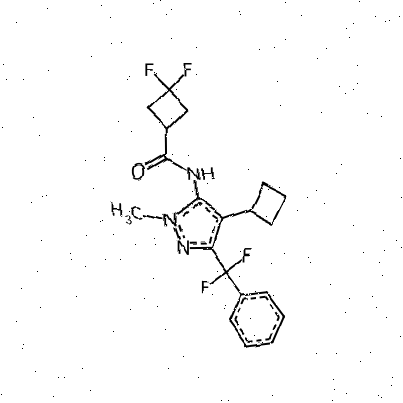 Cn1nc(C(F)(F)c2ccccc2)c(C2CCC2)c1NC(=O)C1CC(F)(F)C1